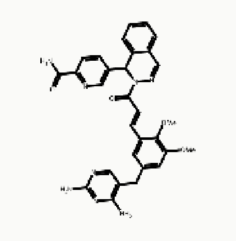 COc1cc(Cc2cnc(N)nc2N)cc(C=CC(=O)N2N=Cc3ccccc3C2c2ccc(C(N)=O)nc2)c1OC